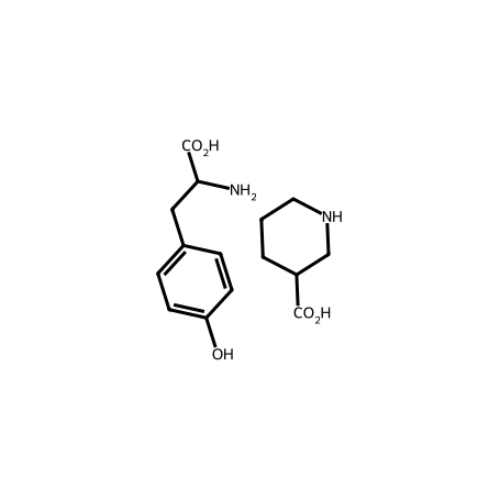 NC(Cc1ccc(O)cc1)C(=O)O.O=C(O)C1CCCNC1